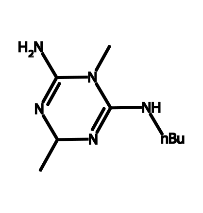 CCCCNC1=NC(C)N=C(N)N1C